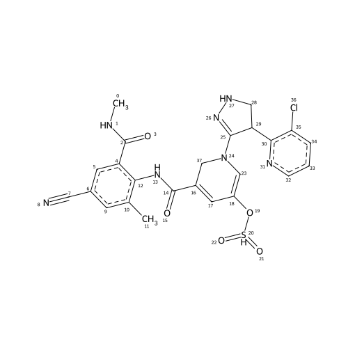 CNC(=O)c1cc(C#N)cc(C)c1NC(=O)C1=CC(O[SH](=O)=O)=CN(C2=NNCC2c2ncccc2Cl)C1